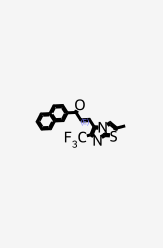 Cc1cn2c(/C=C/C(=O)c3ccc4ccccc4c3)c(C(F)(F)F)nc2s1